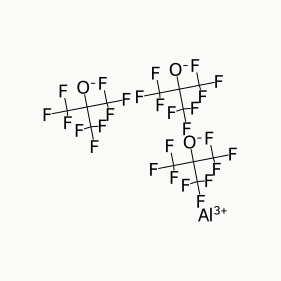 [Al+3].[O-]C(C(F)(F)F)(C(F)(F)F)C(F)(F)F.[O-]C(C(F)(F)F)(C(F)(F)F)C(F)(F)F.[O-]C(C(F)(F)F)(C(F)(F)F)C(F)(F)F